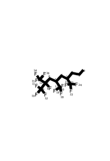 CCCC(CC(CC(F)(C(F)(F)F)C(F)(F)F)C(F)(F)F)C(F)(F)F